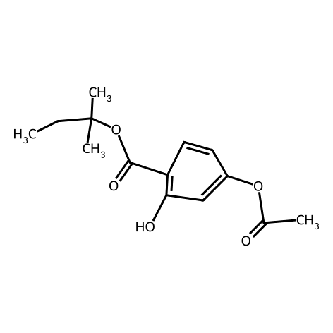 CCC(C)(C)OC(=O)c1ccc(OC(C)=O)cc1O